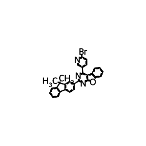 CC1(C)c2ccccc2-c2ccc(-c3nc(-c4ccc(Br)nc4)c4c(n3)oc3ccccc34)cc21